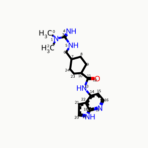 CN(C)C(=N)NCC1CCC(C(=O)Nc2ccnc3[nH]ccc23)CC1